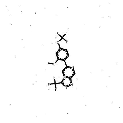 COc1cc(OC(F)(F)F)ccc1-c1cn2c(C(F)(F)F)nnc2cn1